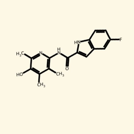 Cc1nc(NC(=O)c2cc3cc(F)ccc3[nH]2)c(C)c(C)c1O